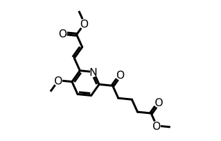 COC(=O)C=Cc1nc(C(=O)CCCC(=O)OC)ccc1OC